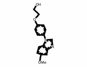 COc1ccc2c(c1)ncn2-c1ccc(OCCO)cc1